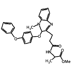 COC(=O)C(C)NC(=O)CCC1=Nc2ccccc2N(C)C1Oc1ccc(Oc2ccccc2)cc1